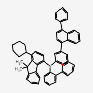 CC1(C)c2ccccc2-c2c(N(c3cccc(-c4ccc(-c5ccccc5)c5ccccc45)c3)c3ccccc3-c3ccccc3)ccc(C3CCCCC3)c21